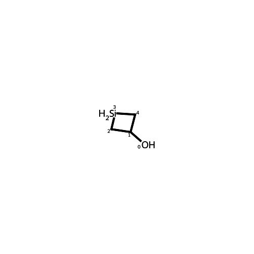 OC1C[SiH2]C1